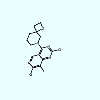 Fc1c(Cl)ncc2c(N3CCCC4(CCO4)C3)nc(Cl)nc12